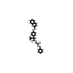 CC(C(=O)OCC(=O)OCc1ccccc1)(c1ccc(OCc2ccc3ccccc3n2)cc1)C1CC1